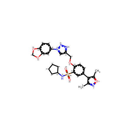 Cc1noc(C)c1-c1ccc(OCc2cn(-c3ccc4c(c3)OCO4)nn2)c(S(=O)(=O)NC2CCCC2)c1